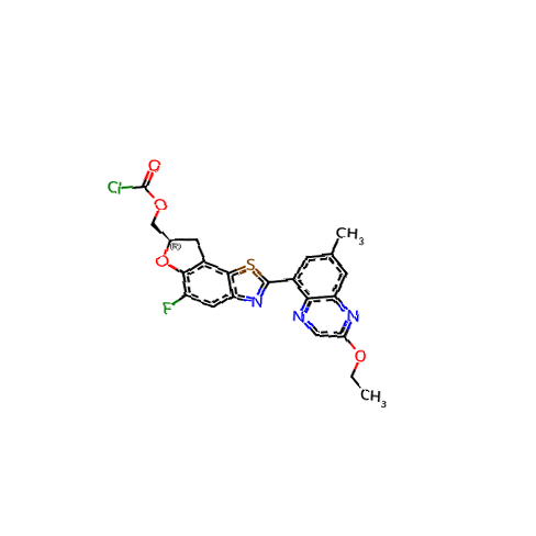 CCOc1cnc2c(-c3nc4cc(F)c5c(c4s3)C[C@H](COC(=O)Cl)O5)cc(C)cc2n1